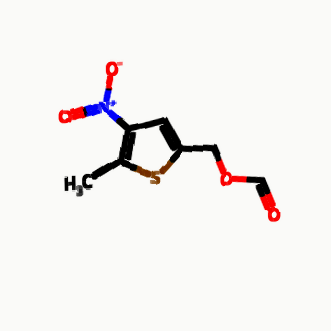 Cc1sc(COC=O)cc1[N+](=O)[O-]